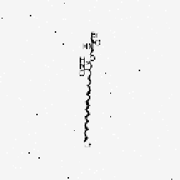 CCC=CCC=CCC=CCC=CCC=CCC=CCC(CCOCCNC(=O)CBr)C(N)=O